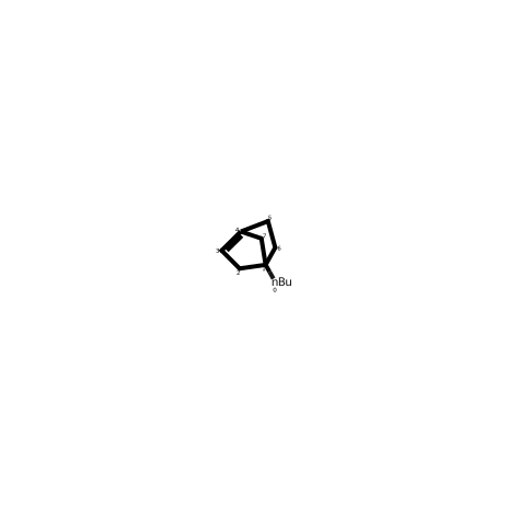 CCCCC12CC=C(CC1)C2